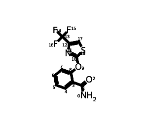 NC(=O)c1ccccc1Oc1nc(C(F)(F)F)cs1